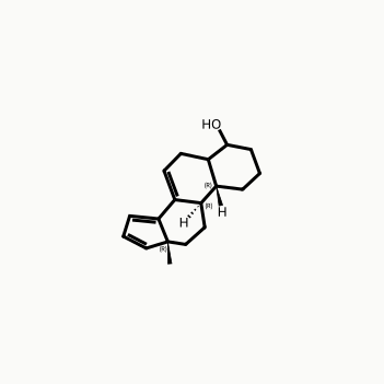 C[C@@]12C=CC=C1C1=CCC3C(O)CCC[C@@H]3[C@H]1CC2